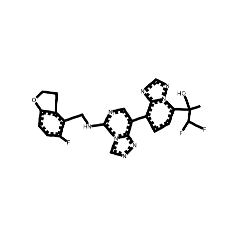 CC(O)(c1ccc(-c2cnc(NCc3c(F)ccc4c3CCO4)n3cnnc23)c2ncnn12)C(F)F